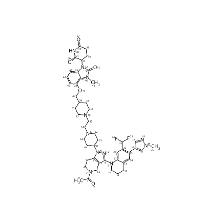 CC(=O)N1CCc2c(c(N3CCCc4cc(-c5cnn(C)c5)c(C(F)F)cc43)nn2C2CCN(CCN3CCC(COc4cccc5c4n(C)c(=O)n5C4CCC(=O)NC4=O)CC3)CC2)C1